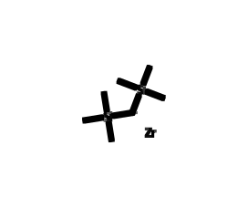 C[Si](C)(C)[CH][Si](C)(C)C.[Zr]